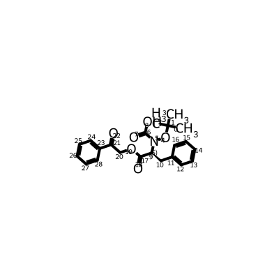 CC(C)(C)ON(C(=O)O)[C@@H](Cc1ccccc1)C(=O)OCC(=O)c1ccccc1